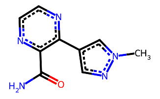 Cn1cc(-c2nccnc2C(N)=O)cn1